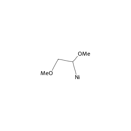 COC[CH]([Ni])OC